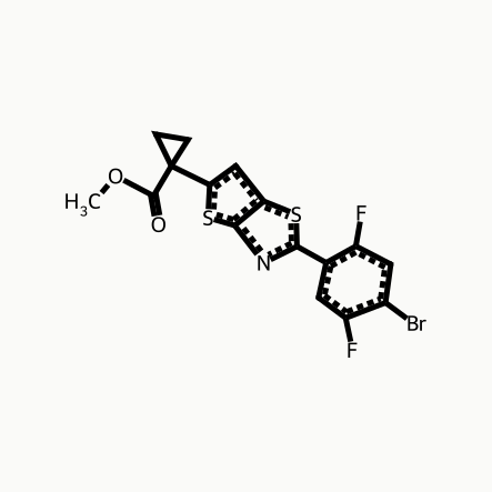 COC(=O)C1(c2cc3sc(-c4cc(F)c(Br)cc4F)nc3s2)CC1